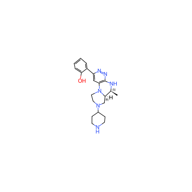 C[C@@H]1Nc2nnc(-c3ccccc3O)cc2N2CCN(C3CCNCC3)C[C@H]12